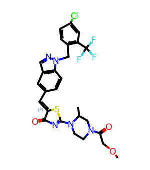 COCC(=O)N1CCN(C2=NC(=O)/C(=C/c3ccc4c(cnn4Cc4ccc(Cl)cc4C(F)(F)F)c3)S2)C(C)C1